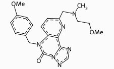 COCCN(C)Cc1ccc2c(n1)c1ncnn1c(=O)n2Cc1ccc(OC)cc1